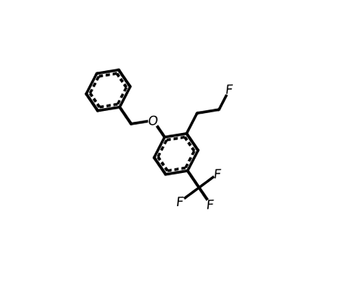 FCCc1cc(C(F)(F)F)ccc1OCc1ccccc1